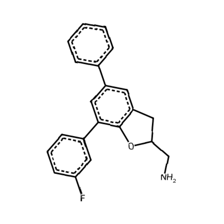 NCC1Cc2cc(-c3ccccc3)cc(-c3cccc(F)c3)c2O1